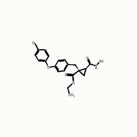 CCOC(=O)[C@@]1(Cc2ccc(Oc3ccc(Cl)cc3)cc2)C[C@@H]1C(=O)NO